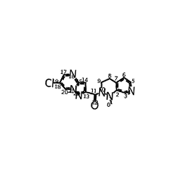 CN1c2cnccc2CCN1C(=O)c1cc2ncc(Cl)cn2n1